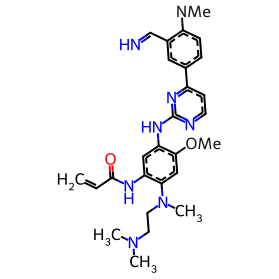 C=CC(=O)Nc1cc(Nc2nccc(-c3ccc(NC)c(C=N)c3)n2)c(OC)cc1N(C)CCN(C)C